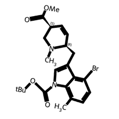 COC(=O)[C@H]1C=C[C@@H](Cc2cn(C(=O)OC(C)(C)C)c3c(C)ccc(Br)c23)N(C)C1